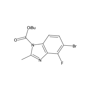 Cc1nc2c(F)c(Br)ccc2n1C(=O)OCC(C)C